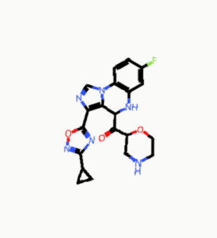 O=C(C1CNCCO1)C1Nc2cc(F)ccc2-n2cnc(-c3nc(C4CC4)no3)c21